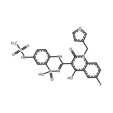 CS(=O)(=O)Nc1ccc2c(c1)P(=O)(O)N=C(c1c(O)c3cc(F)ccc3n(Cc3ccoc3)c1=O)N2